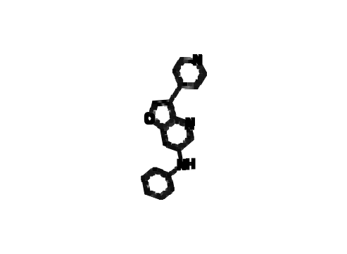 c1ccc(Nc2cnc3c(-c4ccncc4)coc3c2)cc1